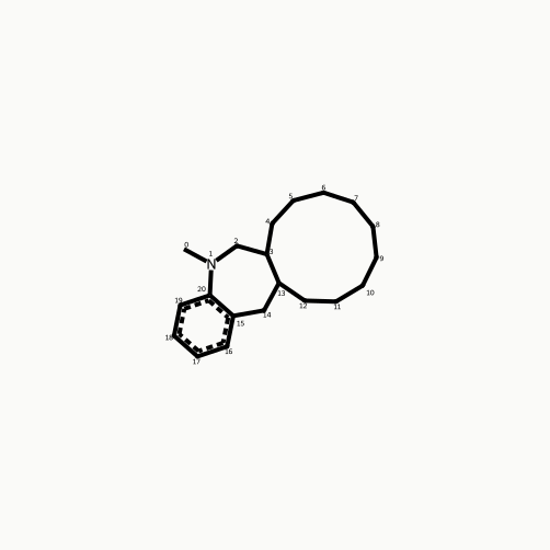 CN1CC2CCCCCCCCCC2Cc2ccccc21